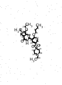 CCCCOc1ncc(S(=O)(=O)N2CCN(CC)CC2)cc1-c1nc2c(OCC)n(C)nc2c(=O)[nH]1